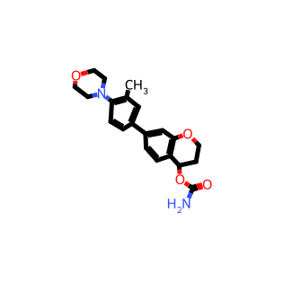 Cc1cc(-c2ccc3c(c2)OCCC3OC(N)=O)ccc1N1CCOCC1